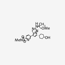 CNS(=O)(=O)c1ccc(-c2cc([C@H]3CC[C@H](O)CC3)n3nc(N[C@@H](C)COC)ncc23)cn1